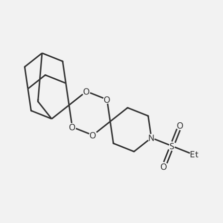 CCS(=O)(=O)N1CCC2(CC1)OOC1(OO2)C2CC3CC(C2)CC1C3